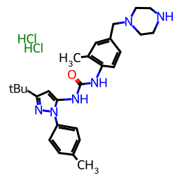 Cc1ccc(-n2nc(C(C)(C)C)cc2NC(=O)Nc2ccc(CN3CCNCC3)cc2C)cc1.Cl.Cl